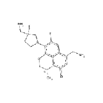 C[C@@H]1COc2c(N3CCC(F)(CN)C3)c(F)cc3c(CN)cc(=O)n1c23